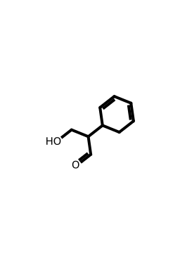 O=CC(CO)C1C=CC=CC1